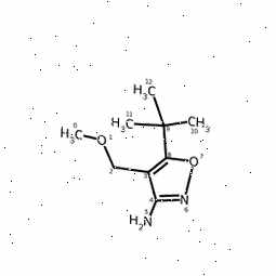 COCc1c(N)noc1C(C)(C)C